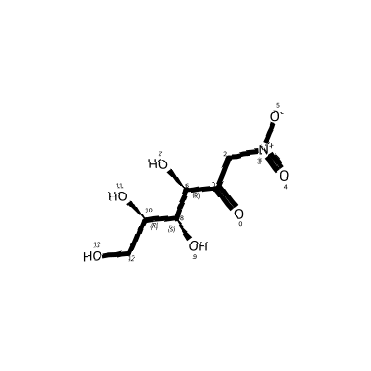 O=C(C[N+](=O)[O-])[C@H](O)[C@@H](O)[C@H](O)CO